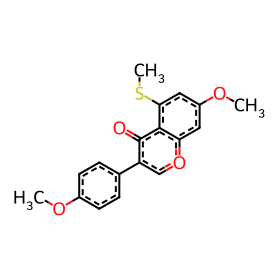 COc1ccc(-c2coc3cc(OC)cc(SC)c3c2=O)cc1